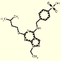 CCn1ncc2c(NCc3ccc(S(=O)(=O)O)cc3)nc(OCCC(C)C)nc21